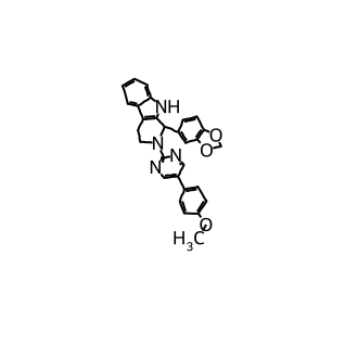 COc1ccc(-c2cnc(N3CCc4c([nH]c5ccccc45)C3c3ccc4c(c3)OCO4)nc2)cc1